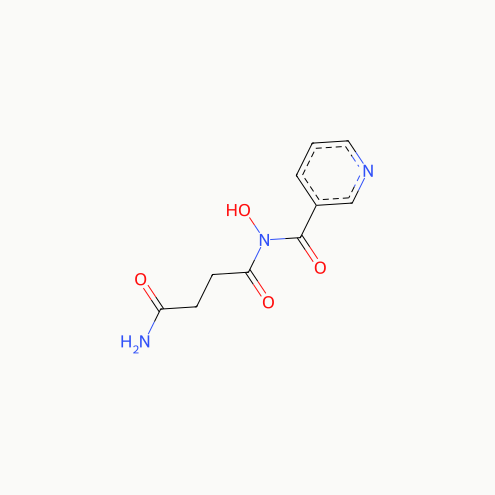 NC(=O)CCC(=O)N(O)C(=O)c1cccnc1